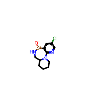 [O-][S+]1NCC2CCCCN2c2ncc(Cl)cc21